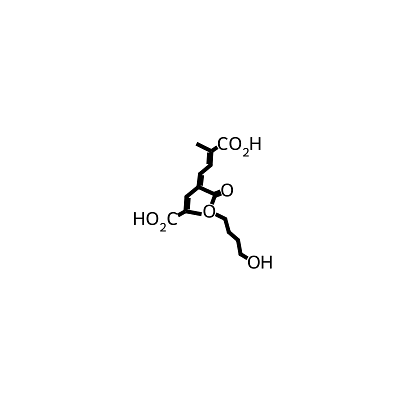 CC(=CC=C(C=C(C)C(=O)O)C(=O)OCCCCO)C(=O)O